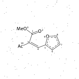 COC(=O)C(=Cc1ccco1)C(C)=O